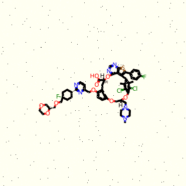 Cc1c(Cl)c2c(Cl)c(C)c1-c1c(-c3ccc(F)cc3)sc3ncnc(c13)O[C@@H](C(=O)O)Cc1cc(ccc1OCc1ccnc([C@H]3CC[C@](F)(COC[C@@H]4COCCO4)CC3)n1)OC[C@@H](CN1CCN(C)CC1)O2